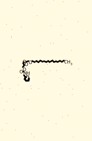 CCCCCCCCCCCCCCCCCCOCC1OCC(COC(=O)NCc2ccccn2)O1